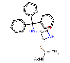 CC(=O)NC(C)S[C@H]1NC(=O)[C@H]1NC(c1ccccc1)(c1ccccc1)c1ccccc1